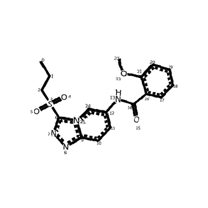 CCCS(=O)(=O)c1nnc2ccc(NC(=O)c3ccccc3OC)cn12